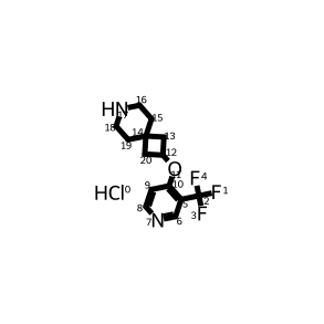 Cl.FC(F)(F)c1cnccc1OC1CC2(CCNCC2)C1